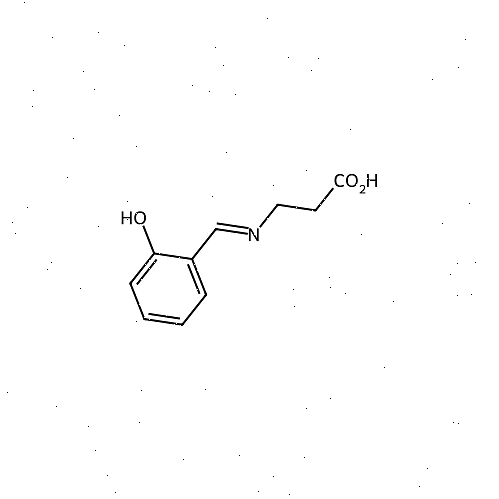 O=C(O)CCN=Cc1ccccc1O